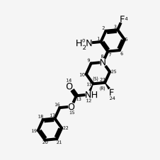 Nc1cc(F)ccc1N1CC[C@H](NC(=O)OCc2ccccc2)[C@H](F)C1